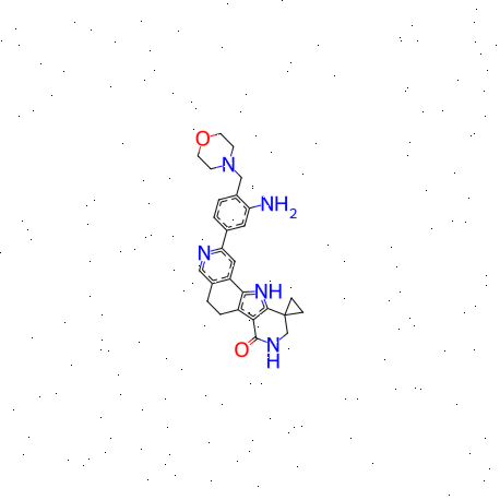 Nc1cc(-c2cc3c(cn2)CCc2c-3[nH]c3c2C(=O)NCC32CC2)ccc1CN1CCOCC1